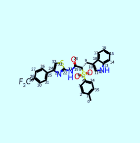 Cc1ccc(S(=O)(=O)[C@@H](Cc2c[nH]c3ccccc23)C(=O)Nc2nc(-c3ccc(C(F)(F)F)cc3)cs2)cc1